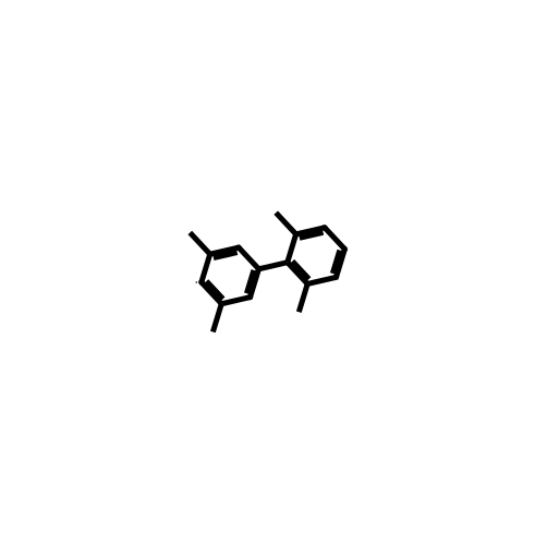 Cc1[c]c(C)cc(-c2c(C)cccc2C)c1